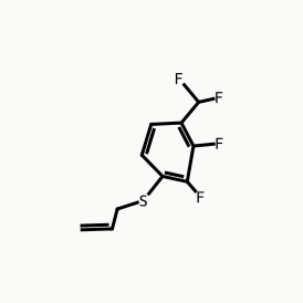 C=CCSc1ccc([C](F)F)c(F)c1F